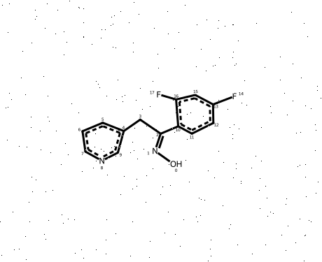 ON=C(Cc1cccnc1)c1ccc(F)cc1F